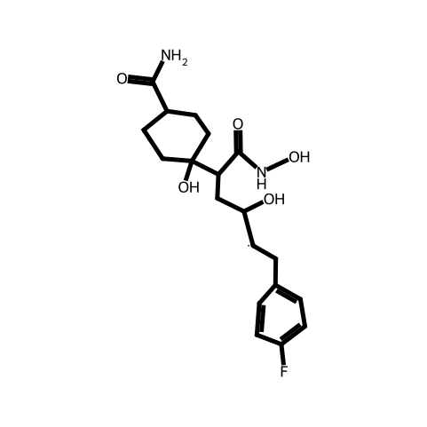 NC(=O)C1CCC(O)(C(CC(O)[CH]Cc2ccc(F)cc2)C(=O)NO)CC1